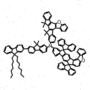 CCCCCCCC1(CCCCCCC)c2ccccc2-c2ccc(-c3ccc4c(c3)C(C)(C)c3cc(N(c5ccc6c(c5)C(C)(C)c5c7c(c8oc9ccccc9c8c5-6)-c5ccccc5C7(C)C)c5ccc6c(c5)C5(c7ccccc7-c7ccccc75)c5cc7c(cc5-6)C5(c6ccccc6-c6ccccc65)c5ccc6oc8ccccc8c6c5-7)ccc3-4)cc21